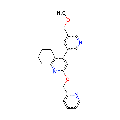 COCc1cncc(-c2cc(OCc3ccccn3)nc3c2CCCC3)c1